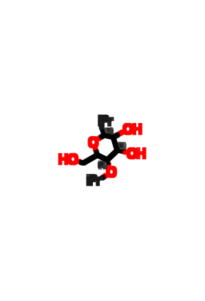 CC(C)O[C@@H]1C(CO)O[C@@H](C(C)C)C(O)[C@H]1O